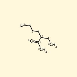 [Li][CH2]CCC(CC)C(C)=O